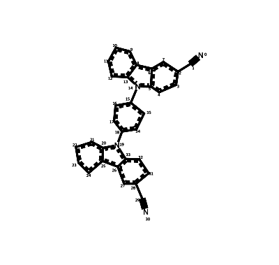 N#Cc1ccc2c(c1)c1ccccc1n2-c1ccc(-n2c3ccccc3c3cc(C#N)ccc32)cc1